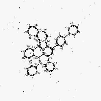 c1ccc(-c2ccc(-c3cc4c5c6c3c3ccc7ccccc7c3n6-c3ccccc3B5N(c3ccccc3)c3ccccc3-4)cc2)cc1